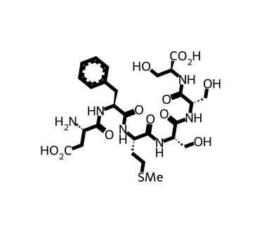 CSCC[C@H](NC(=O)[C@H](Cc1ccccc1)NC(=O)[C@@H](N)CC(=O)O)C(=O)N[C@@H](CO)C(=O)N[C@@H](CO)C(=O)N[C@@H](CO)C(=O)O